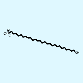 SCCCCCCCCCCCCCCCCCCCCCCCCCCC[Si](Cl)(Cl)Cl